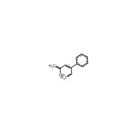 C=C/C(=C\C(=C)O)c1ccccc1